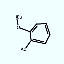 CCC(C)Oc1ccccc1C(C)=O